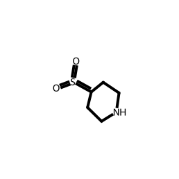 O=S(=O)=C1CCNCC1